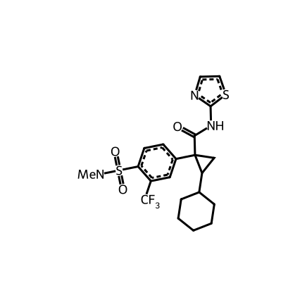 CNS(=O)(=O)c1ccc(C2(C(=O)Nc3nccs3)CC2C2CCCCC2)cc1C(F)(F)F